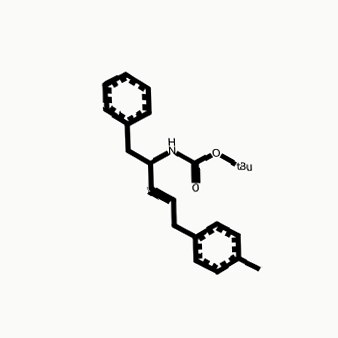 Cc1ccc(CC=CC(Cc2ccccc2)NC(=O)OC(C)(C)C)cc1